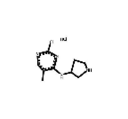 Cc1cnc(Cl)nc1NC1CCNC1.Cl